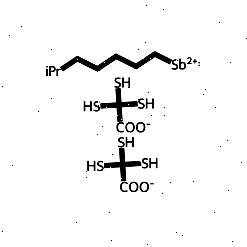 CC(C)CCCC[CH2][Sb+2].O=C([O-])C(S)(S)S.O=C([O-])C(S)(S)S